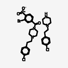 Clc1ccc(CCN2CCNCC2)cc1.O=C(c1ccc([N+](=O)[O-])c(Br)c1)N1CCN(CCc2ccc(Cl)cc2)CC1